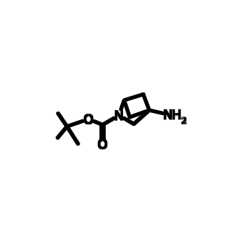 CC(C)(C)OC(=O)N1CC2(N)CC1C2